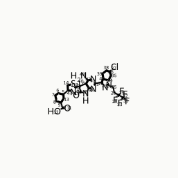 C[C@]1(c2nc(-c3cccc(C(=O)O)c3)cs2)C(=O)Nc2nc(-c3nn(CCC(F)(F)C(F)(F)F)c4cc(Cl)ccc34)nc(N)c21